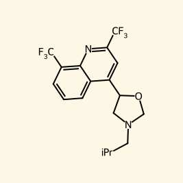 CC(C)CN1COC(c2cc(C(F)(F)F)nc3c(C(F)(F)F)cccc23)C1